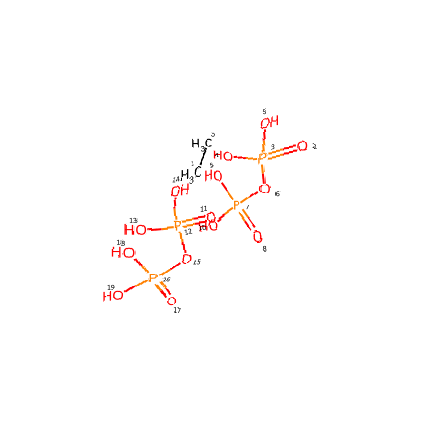 CC.O=P(O)(O)OP(=O)(O)O.O=P(O)(O)OP(=O)(O)O